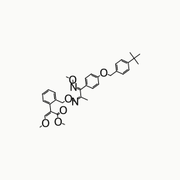 COC=C(C(=O)OC)c1ccccc1CON=C(C)C(=NOC)c1ccc(OCc2ccc(C(C)(C)C)cc2)cc1